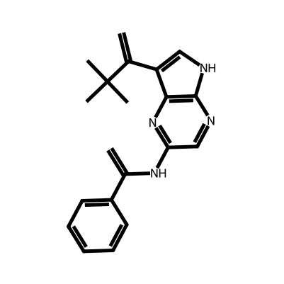 C=C(Nc1cnc2[nH]cc(C(=C)C(C)(C)C)c2n1)c1ccccc1